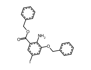 Nc1c(OCc2ccccc2)cc(I)cc1C(=O)OCc1ccccc1